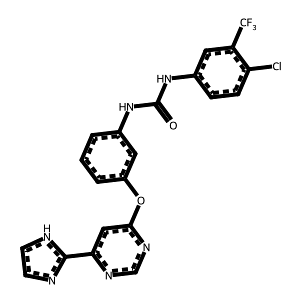 O=C(Nc1cccc(Oc2cc(-c3ncc[nH]3)ncn2)c1)Nc1ccc(Cl)c(C(F)(F)F)c1